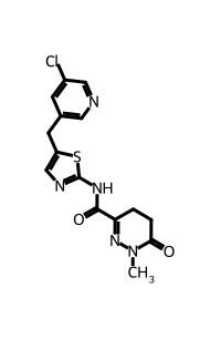 CN1N=C(C(=O)Nc2ncc(Cc3cncc(Cl)c3)s2)CCC1=O